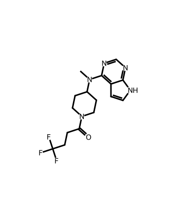 CN(c1ncnc2[nH]ccc12)C1CCN(C(=O)CCC(F)(F)F)CC1